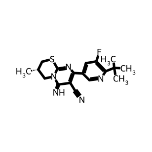 C[C@@H]1CSc2nc(-c3cnc(C(C)(C)C)c(F)c3)c(C#N)c(=N)n2C1